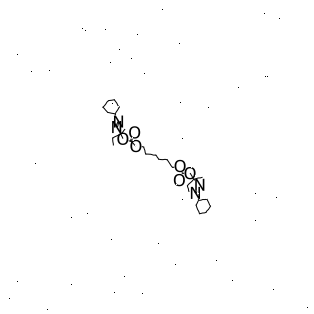 CCC(C)(N=NC1CCCCC1)OC(=O)OCCCCCCOC(=O)OC(C)(CC)N=NC1CCCCC1